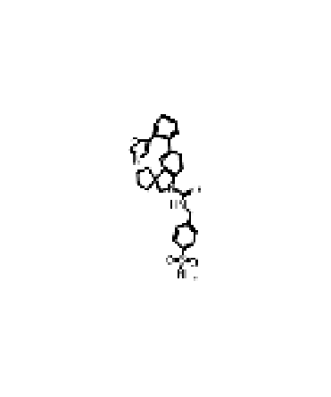 NS(=O)(=O)c1ccc(CNC(=O)N2CC3(CCCC3)c3cc(-c4ccccc4-c4cnco4)ccc32)cc1